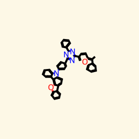 C=C(/C=C\c1oc2ccccc2c1C)c1nc(-c2ccccc2)nc(-c2ccc(-n3c4ccccc4c4c5oc6ccccc6c5ccc43)cc2)n1